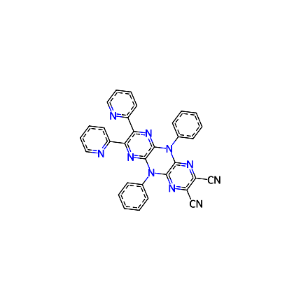 N#Cc1nc2c(nc1C#N)N(c1ccccc1)c1nc(-c3ccccn3)c(-c3ccccn3)nc1N2c1ccccc1